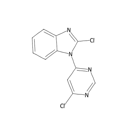 Clc1cc(-n2c(Cl)nc3ccccc32)ncn1